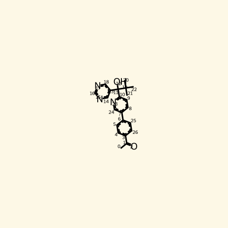 CC(=O)c1ccc(-c2ccc(C(O)(c3cncnc3)C(C)(C)C)nc2)cc1